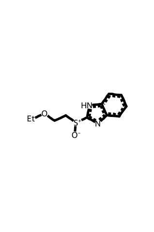 CCOCC[S+]([O-])c1nc2ccccc2[nH]1